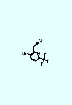 N#CCc1nc(C(F)(F)F)ccc1Br